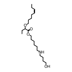 CC/C=C\CCCCOC(CC)C(=O)OCCCCCCNCCCCO